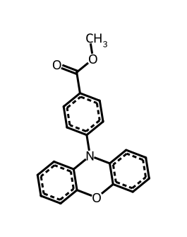 COC(=O)c1ccc(N2c3ccccc3Oc3ccccc32)cc1